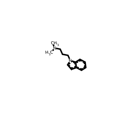 CN(C)CCCn1c[c]c2ccccc21